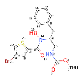 CC(C)(C)OC(=O)NCC(Cc1ccccc1)N(O)C(=O)c1cc(Br)cs1